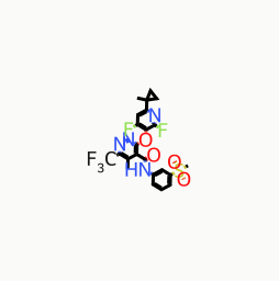 Cc1c(C(F)(F)F)nnc(Oc2c(F)cc(C3(C)CC3)nc2F)c1C(=O)Nc1cccc(S(C)(=O)=O)c1